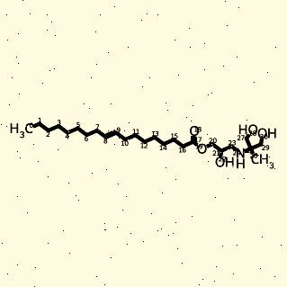 CCCCCCCCC=CCCCCCCCC(=O)OCC(O)CNC(C)(CO)CO